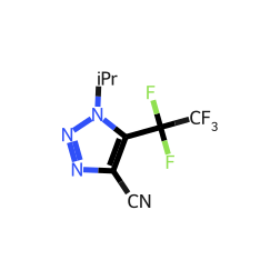 CC(C)n1nnc(C#N)c1C(F)(F)C(F)(F)F